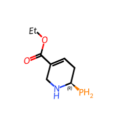 CCOC(=O)C1=CC[C@@H](P)NC1